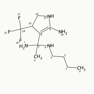 CCCCNC(C)(N)C1=C(N)NCC1C(F)(F)F